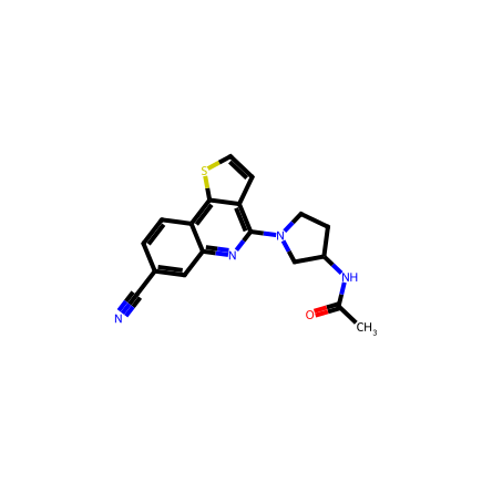 CC(=O)NC1CCN(c2nc3cc(C#N)ccc3c3sccc23)C1